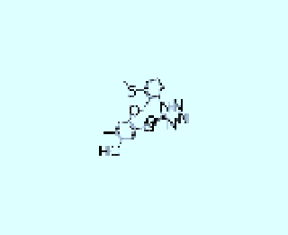 CSc1cccc(-n2nnn(C)c2=O)c1COc1cc(C)c(O)cc1Cl